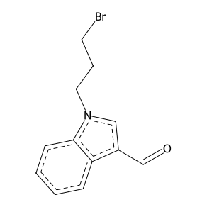 O=Cc1cn(CCCBr)c2ccccc12